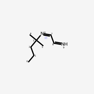 CCCC(C)(C)/N=C\C=N